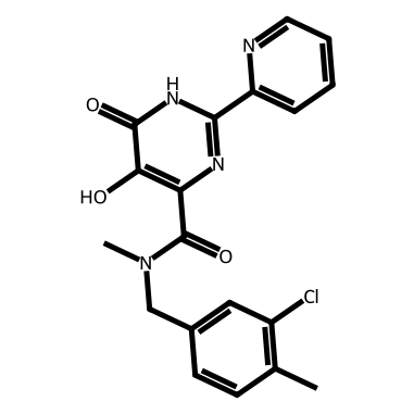 Cc1ccc(CN(C)C(=O)c2nc(-c3ccccn3)[nH]c(=O)c2O)cc1Cl